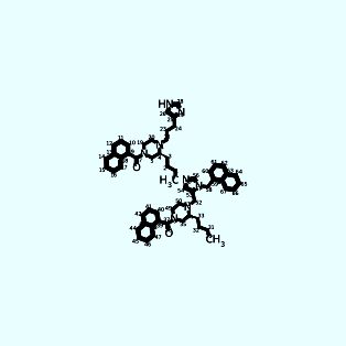 CCCC[C@H]1CN(C(=O)c2cccc3ccccc23)CCN1CCCc1c[nH]cn1.CCCC[C@H]1CN(C(=O)c2cccc3ccccc23)CCN1Cc1cncn1Cc1cccc2ccccc12